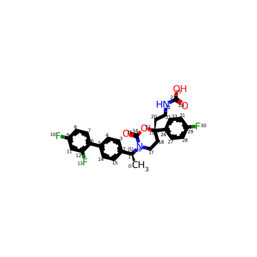 C[C@@H](c1ccc(-c2ccc(F)cc2F)cc1)N1CC[C@@](CCNC(=O)O)(c2ccc(F)cc2)OC1=O